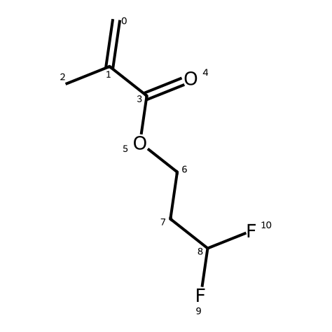 C=C(C)C(=O)OCCC(F)F